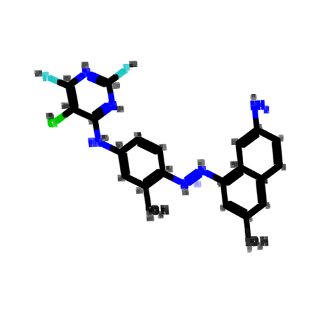 Nc1ccc2cc(S(=O)(=O)O)cc(/N=N/c3ccc(Nc4nc(F)nc(F)c4Cl)cc3S(=O)(=O)O)c2c1